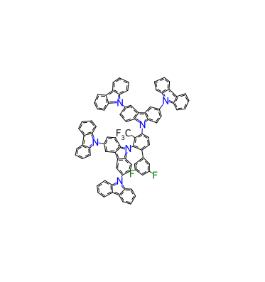 Fc1cc(F)cc(-c2ccc(-n3c4ccc(-n5c6ccccc6c6ccccc65)cc4c4cc(-n5c6ccccc6c6ccccc65)ccc43)c(C(F)(F)F)c2-n2c3ccc(-n4c5ccccc5c5ccccc54)cc3c3cc(-n4c5ccccc5c5ccccc54)ccc32)c1